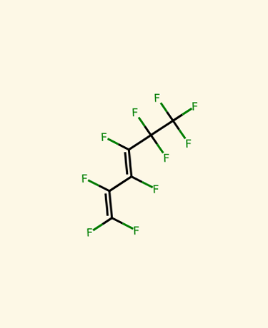 FC(F)=C(F)C(F)=C(F)C(F)(F)C(F)(F)F